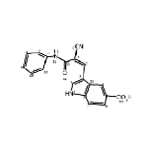 N#C/C(=C/c1c[nH]c2ccc(C(=O)O)cc12)C(=O)Nc1ccccc1